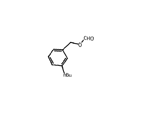 CCCCc1cccc(COC=O)c1